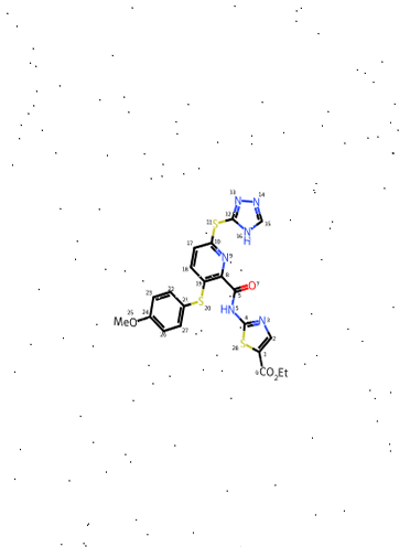 CCOC(=O)c1cnc(NC(=O)c2nc(Sc3nnc[nH]3)ccc2Sc2ccc(OC)cc2)s1